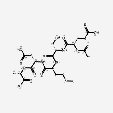 CSCC[C@H](NC(=O)[C@H](CO)NC(=O)[C@H](CCC(=O)O)NC(C)=O)C(=O)N[C@@H](CC(=O)O)C(=O)N[C@@H](C)C(=O)O